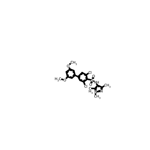 COc1cc(OC)cc(-c2cc(Cl)c(S(=O)(=O)Nc3c(C)nn(C)c3C)c(Cl)c2)c1